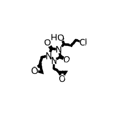 O=c1n(C(O)CCCl)c(=O)n(CC2CO2)n1CC1CO1